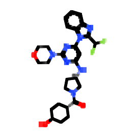 O=C([C@H]1CC[C@H](O)CC1)N1CC[C@H](Nc2cc(-n3c(C(F)F)nc4ccccc43)nc(N3CCOCC3)n2)C1